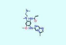 C=CC(=O)Nc1cc(Nc2cn3c(C)cnc3cn2)c(OC)cc1N(C)CCN(C)C